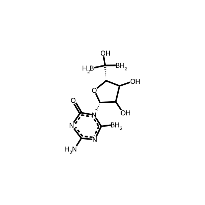 Bc1nc(N)nc(=O)n1[C@@H]1O[C@H](C(B)(B)O)C(O)C1O